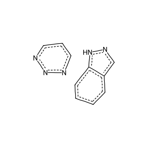 c1ccc2[nH]ncc2c1.c1cnnnc1